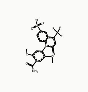 COc1cc(-n2c(=O)cc(C(F)(F)F)c3cc(S(=O)(=O)O)ccc32)c(OC)cc1C(N)=O